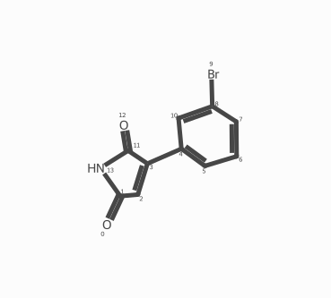 O=C1C=C(c2cccc(Br)c2)C(=O)N1